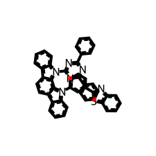 c1ccc(-c2nc(-c3ccccc3)nc(-n3c4ccccc4c4ccc5c6ccccc6n(-c6cccc(-c7nc8ccccc8s7)c6)c5c43)n2)cc1